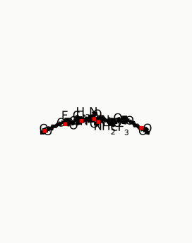 C=CC(=O)OCCCCCCOc1ccc(C(=O)Oc2ccc(N=Nc3ccc(-c4ccc(N=Nc5ccc(OC(=O)c6ccc(OCCCCCCOC(=O)C=C)cc6)c(C(F)(F)F)c5)cc4C(N)=O)c(C(N)=O)c3)cc2C(F)(F)F)cc1